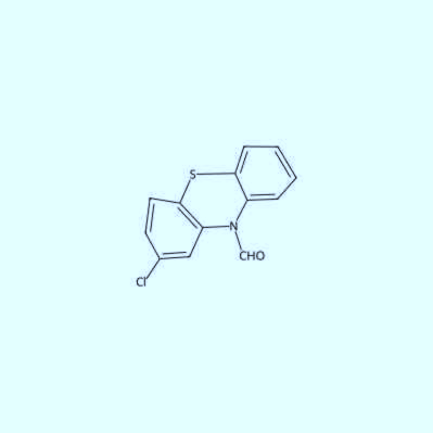 O=CN1c2ccccc2Sc2ccc(Cl)cc21